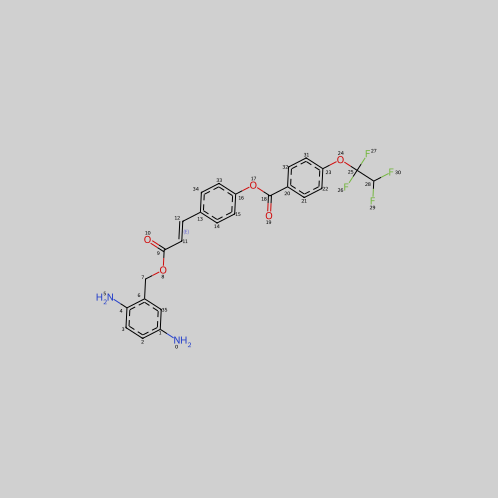 Nc1ccc(N)c(COC(=O)/C=C/c2ccc(OC(=O)c3ccc(OC(F)(F)C(F)F)cc3)cc2)c1